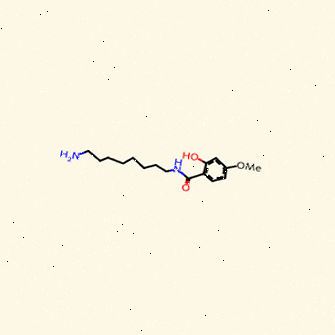 COc1ccc(C(=O)NCCCCCCCCN)c(O)c1